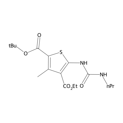 CCCNC(=O)Nc1sc(C(=O)OC(C)(C)C)c(C)c1C(=O)OCC